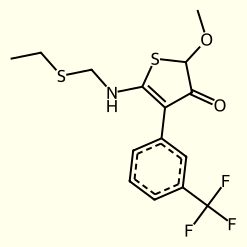 CCSCNC1=C(c2cccc(C(F)(F)F)c2)C(=O)C(OC)S1